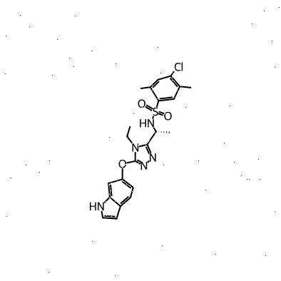 CCn1c(Oc2ccc3cc[nH]c3c2)nnc1[C@@H](C)NS(=O)(=O)c1cc(C)c(Cl)cc1C